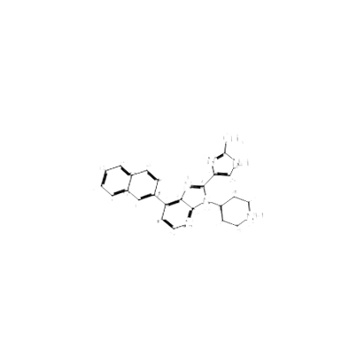 Cc1nc(-c2nc3c(-c4ccc5ccccc5c4)ccnc3n2C2CCNCC2)c[nH]1